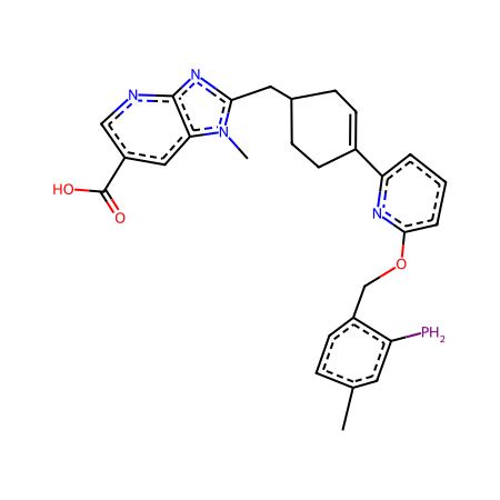 Cc1ccc(COc2cccc(C3=CCC(Cc4nc5ncc(C(=O)O)cc5n4C)CC3)n2)c(P)c1